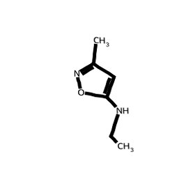 CCNc1cc(C)no1